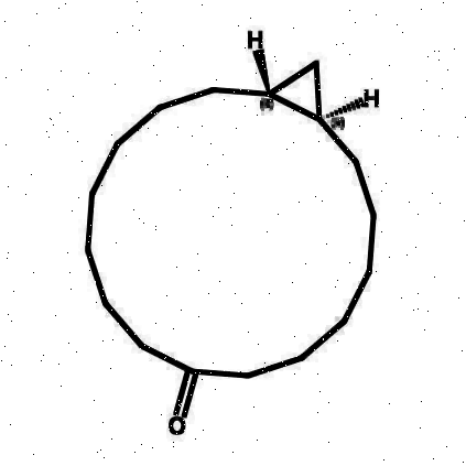 O=C1CCCCCCC[C@@H]2C[C@H]2CCCCCC1